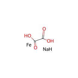 O=C(O)C(=O)O.[Fe].[NaH]